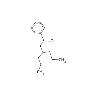 CCCC(CCC)CC(=O)c1ccccc1